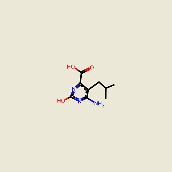 CC(C)Cc1c(N)nc(O)nc1C(=O)O